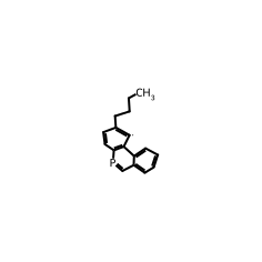 CCCCc1[c]c2c(cc1)pcc1ccccc12